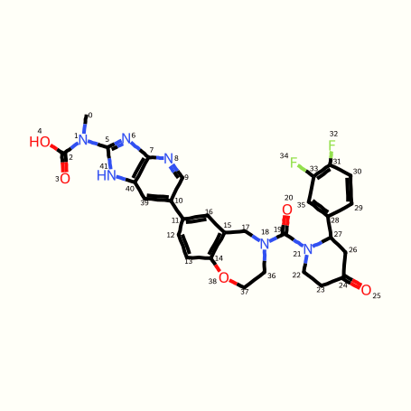 CN(C(=O)O)c1nc2ncc(-c3ccc4c(c3)CN(C(=O)N3CCC(=O)CC3c3ccc(F)c(F)c3)CCO4)cc2[nH]1